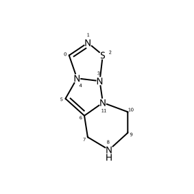 C1=NSN2N1C=C1CNCCN12